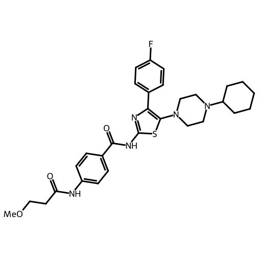 COCCC(=O)Nc1ccc(C(=O)Nc2nc(-c3ccc(F)cc3)c(N3CCN(C4CCCCC4)CC3)s2)cc1